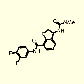 CNC(=O)NC1COc2c(C(=O)Nc3ccc(F)c(F)c3)cccc21